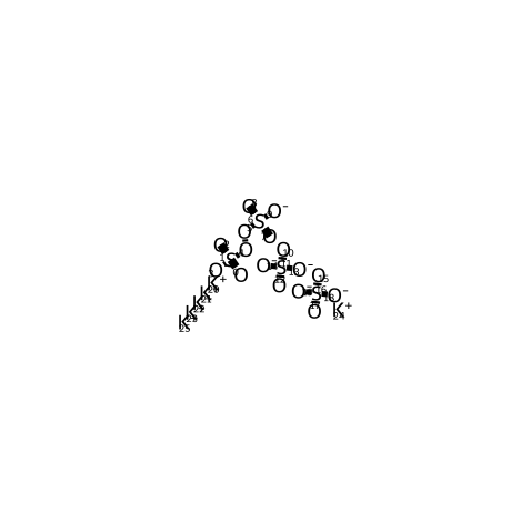 O=S(=O)([O-])OOS(=O)(=O)[O-].O=S(=O)([O-])[O-].O=S(=O)([O-])[O-].[K+].[K+].[K+].[K+].[K+].[K+]